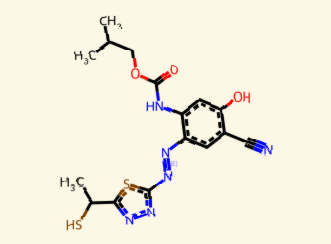 CC(C)COC(=O)Nc1cc(O)c(C#N)cc1/N=N/c1nnc(C(C)S)s1